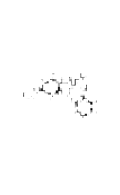 CC(C)(C)c1ccc(OP(C)(=O)Oc2ccccc2)cc1